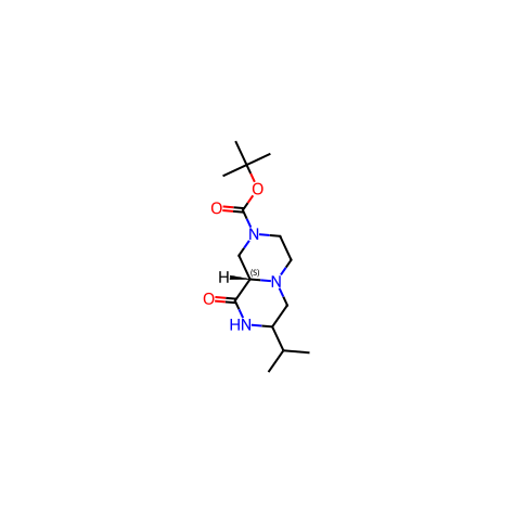 CC(C)C1CN2CCN(C(=O)OC(C)(C)C)C[C@H]2C(=O)N1